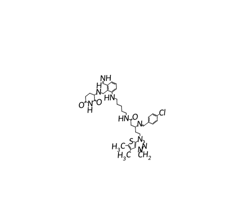 C=N/N=C\N(CCC(CC(=O)NCCCCCNc1cccc(C=N)c1CNC1CCC(=O)NC1=O)/N=C/c1ccc(Cl)cc1)c1cc(C)c(C)s1